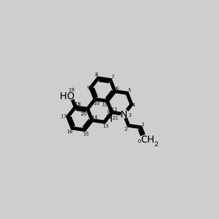 C=CCN1CCc2cccc3c2[C@H]1Cc1cccc(O)c1-3